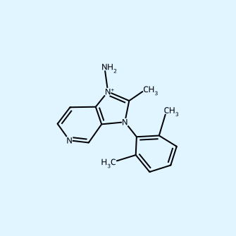 Cc1cccc(C)c1-n1c(C)[n+](N)c2ccncc21